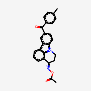 CC(=O)O/N=C1\CCn2c3ccc(C(=O)c4ccc(C)cc4)cc3c3cccc1c32